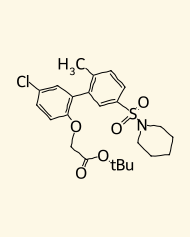 Cc1ccc(S(=O)(=O)N2CCCCC2)cc1-c1cc(Cl)ccc1OCC(=O)OC(C)(C)C